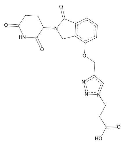 O=C(O)CCn1cc(COc2cccc3c2CN(C2CCC(=O)NC2=O)C3=O)nn1